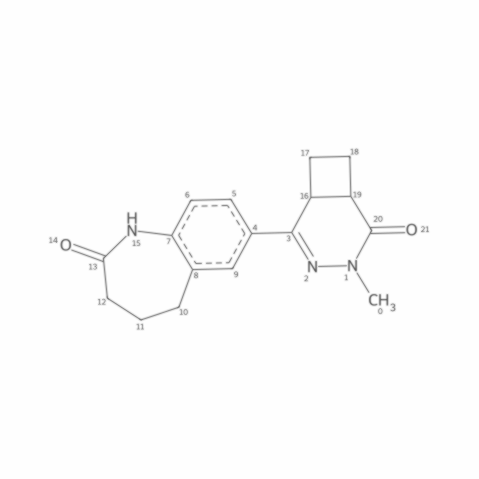 CN1N=C(c2ccc3c(c2)CCCC(=O)N3)C2CCC2C1=O